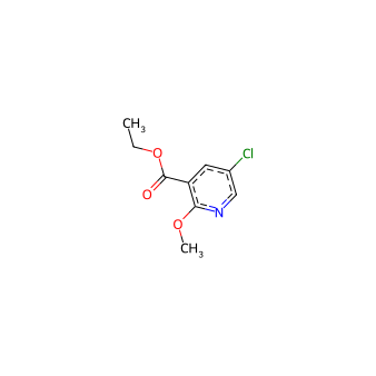 CCOC(=O)c1cc(Cl)cnc1OC